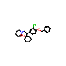 OC1(C(CN2CCCCC2)c2ccc(OCc3ccccc3)c(Cl)c2)CCCCC1